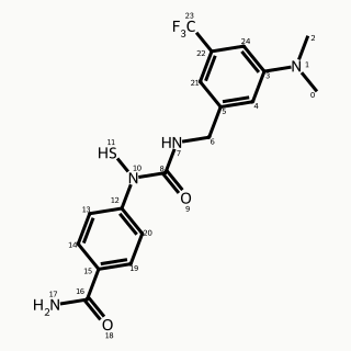 CN(C)c1cc(CNC(=O)N(S)c2ccc(C(N)=O)cc2)cc(C(F)(F)F)c1